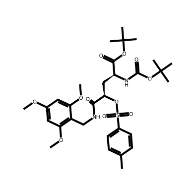 COc1cc(OC)c(CNC(=O)[C@@H](C[C@H](NC(=O)OC(C)(C)C)C(=O)OC(C)(C)C)OS(=O)(=O)c2ccc(C)cc2)c(OC)c1